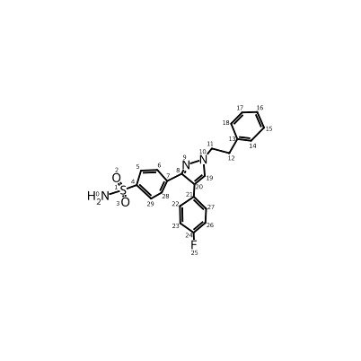 NS(=O)(=O)c1ccc(-c2nn(CCc3ccccc3)cc2-c2ccc(F)cc2)cc1